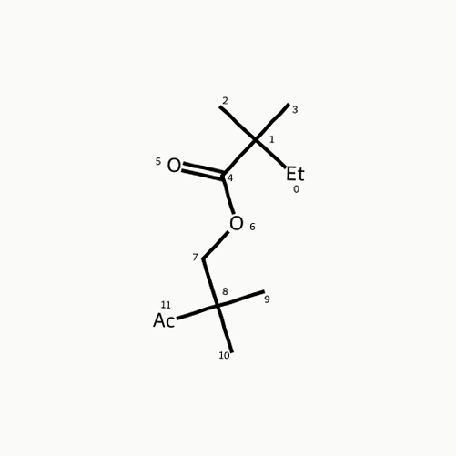 CCC(C)(C)C(=O)OCC(C)(C)C(C)=O